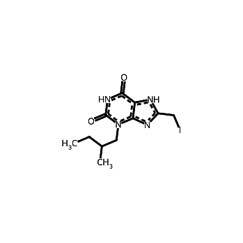 CCC(C)Cn1c(=O)[nH]c(=O)c2[nH]c(CI)nc21